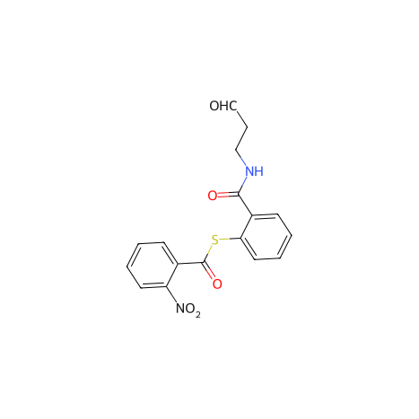 O=CCCNC(=O)c1ccccc1SC(=O)c1ccccc1[N+](=O)[O-]